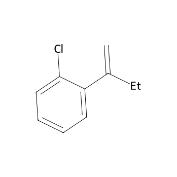 C=C(CC)c1ccccc1Cl